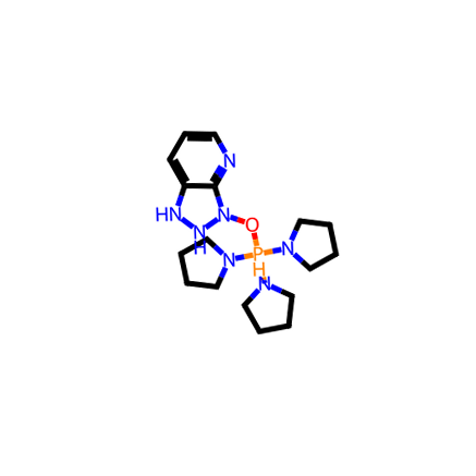 c1cnc2c(c1)NNN2O[PH](N1CCCC1)(N1CCCC1)N1CCCC1